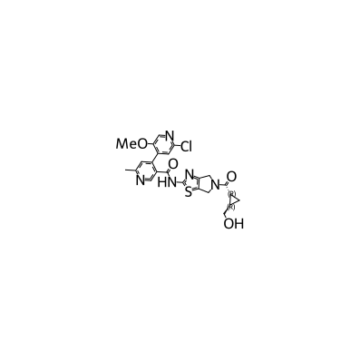 COc1cnc(Cl)cc1-c1cc(C)ncc1C(=O)Nc1nc2c(s1)CN(C(=O)[C@@H]1C[C@H]1CO)C2